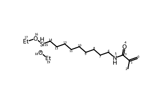 C=C(C)C(=O)NCCCCCCCCC[SiH](OCC)OCC